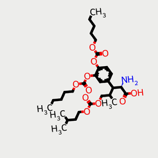 CCCCCOC(=O)Oc1ccc(C(C(C)COC(=O)OCCC(C)C)[C@H](N)C(=O)O)cc1OC(=O)OCCCCC